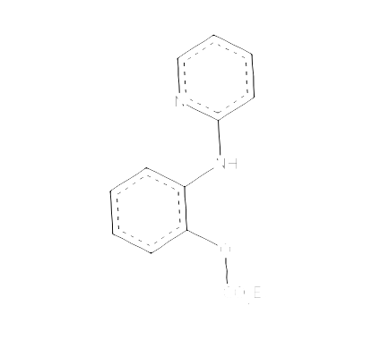 CCOC(=O)Oc1ccccc1Nc1ccccn1